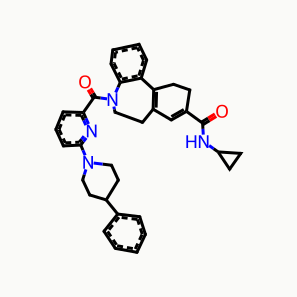 O=C(NC1CC1)C1=CC2=C(CC1)c1ccccc1N(C(=O)c1cccc(N3CCC(c4ccccc4)CC3)n1)CC2